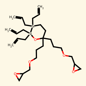 C=CC[Si]1(CC=C)CCC(CCCOCC2CO2)(CCCOCC2CO2)O[Si]1(CC=C)CC=C